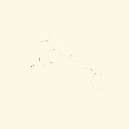 CNC(=O)c1cc(C(=O)NCCC[C@@H]2CNCCO2)cc2c1O[C@H](CF)[C@H]2C